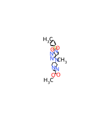 CCOC(=O)c1cn2c(n1)CC(N(C)c1ncnc3c1ccn3S(=O)(=O)c1ccc(C)cc1)CC2